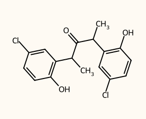 CC(C(=O)C(C)c1cc(Cl)ccc1O)c1cc(Cl)ccc1O